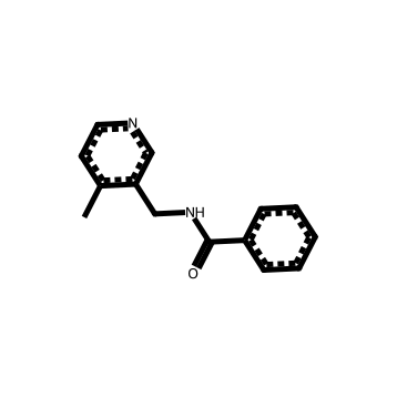 Cc1ccncc1CNC(=O)c1ccccc1